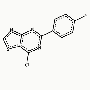 Fc1ccc(-c2nc(Cl)c3scnc3n2)cc1